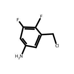 Nc1cc(F)c(F)c(CCl)c1